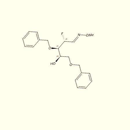 CON=C[C@@H](F)[C@H](OCc1ccccc1)[C@H](O)COCc1ccccc1